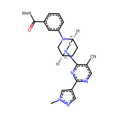 CNC(=O)c1cccc(N2C[C@@H]3CC[C@H]2CN3c2nc(-c3cnn(C)c3)ncc2C#N)c1